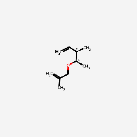 C=C[C@@H](C)[C@@H](C)OCC(=C)C